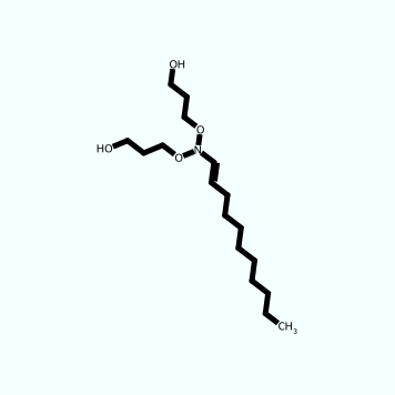 CCCCCCCCCC=CN(OCCCO)OCCCO